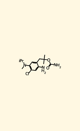 CC(C)N(C)c1cc(CC(C)(C)OC(N)=O)c(N)cc1Cl